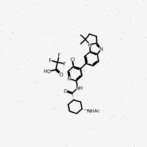 CC(=O)N[C@@H]1CCC[C@H](C(=O)Nc2cc(-c3ccc4nc5n(c4c3)C(C)(C)CC5)c(Cl)cn2)C1.O=C(O)C(F)(F)F